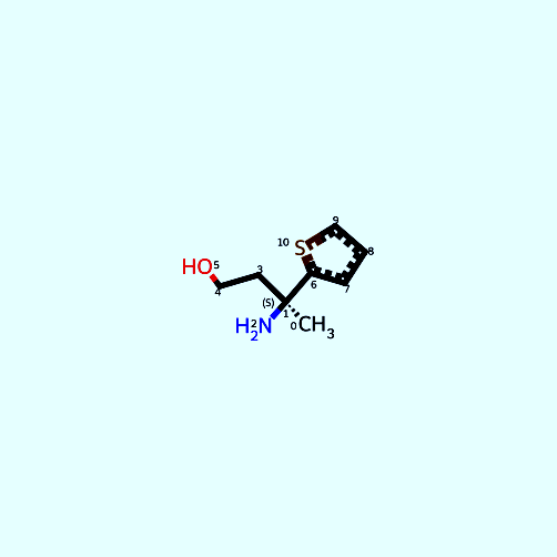 C[C@](N)(CCO)c1cccs1